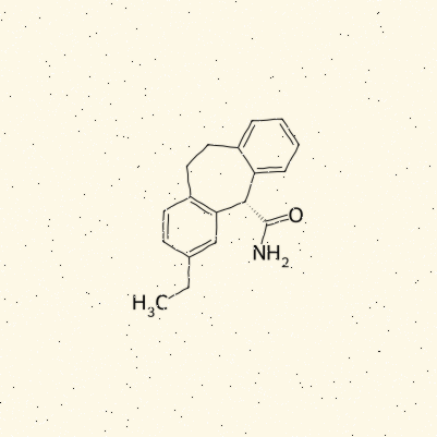 CCc1ccc2c(c1)[C@@H](C(N)=O)c1ccccc1CC2